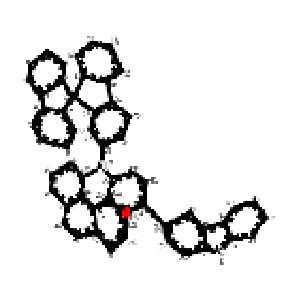 c1ccc2c(c1)-c1ccccc1C21c2ccccc2-c2ccc(N(c3ccc(-c4ccc5sc6ccccc6c5c4)cc3)c3cccc4ccc5ccccc5c34)cc21